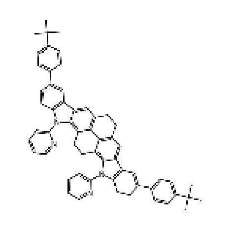 CC(C)(C)c1ccc(C2=Cc3c(n(-c4ccccn4)c4c5c6c(cc34)CCc3cc4c7cc(-c8ccc(C(C)(C)C)cc8)ccc7n(-c7ccccn7)c4c(c3-6)CC5)CC2)cc1